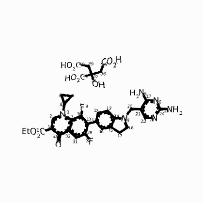 CCOC(=O)c1cn(C2CC2)c2c(F)c(-c3ccc4c(c3)CCN4Cc3cnc(N)nc3N)c(F)cc2c1=O.O=C(O)CC(O)(CC(=O)O)C(=O)O